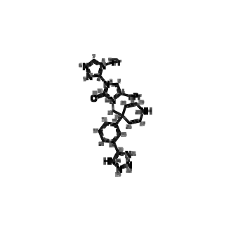 CCCc1cn(-c2nncn2C(C)C)c(=O)n1CC1(c2cccc(-c3nnn[nH]3)c2)C=CNC=C1